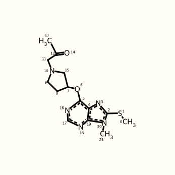 CSc1nc2c(OC3CCN(CC(C)=O)C3)ncnc2n1C